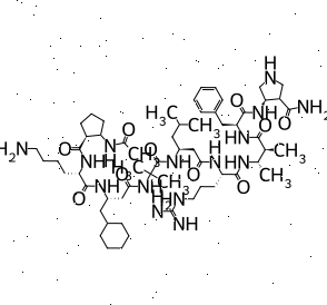 CC(=O)NC1CCC[C@@H]1C(=O)N[C@@H](CCCCN)C(=O)N[C@H](CC(=O)NC(C)(C)C(=O)N[C@H](CC(=O)N[C@@H](CCCNC(=N)N)C(=O)N[C@@H](C)[C@H](C)C(=O)N[C@@H](Cc1ccccc1)C(=O)N[C@H]1CNCC1C(N)=O)CC(C)C)CC1CCCCC1